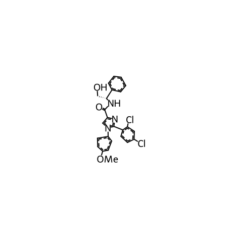 COc1ccc(-n2cc(C(=O)N[C@H](CO)c3ccccc3)nc2-c2ccc(Cl)cc2Cl)cc1